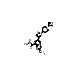 CCC(C)NC(=O)c1cc(-c2cnn(C3CCN(C4COC4)CC3)c2)cn2nc(N)nc12